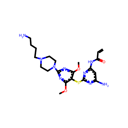 C=CC(=O)Nc1cc(N)nc(Sc2c(OC)nc(N3CCN(CCCCN)CC3)nc2OC)n1